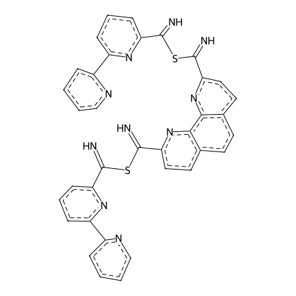 N=C(SC(=N)c1ccc2ccc3ccc(C(=N)SC(=N)c4cccc(-c5ccccn5)n4)nc3c2n1)c1cccc(-c2ccccn2)n1